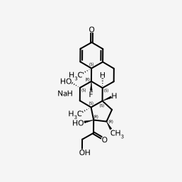 C[C@@H]1C[C@H]2[C@@H]3CCC4=CC(=O)C=C[C@]4(C)[C@@]3(F)[C@@H](O)C[C@]2(C)[C@@]1(O)C(=O)CO.[NaH]